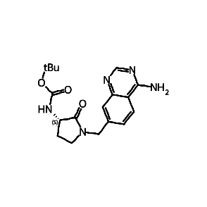 CC(C)(C)OC(=O)N[C@H]1CCN(Cc2ccc3c(N)ncnc3c2)C1=O